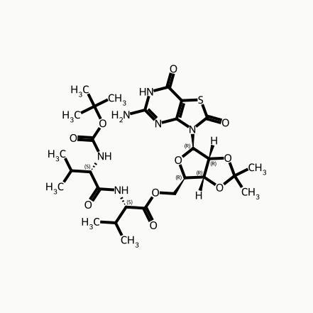 CC(C)[C@H](NC(=O)OC(C)(C)C)C(=O)N[C@H](C(=O)OC[C@H]1O[C@@H](n2c(=O)sc3c(=O)[nH]c(N)nc32)[C@@H]2OC(C)(C)O[C@@H]21)C(C)C